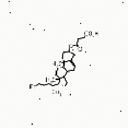 CC(C)CCC[C@@H](C)[C@H]1CCC2C3CC=C4CC(OC(=O)CCC(=O)O)CCC4(C)C3CCC21C